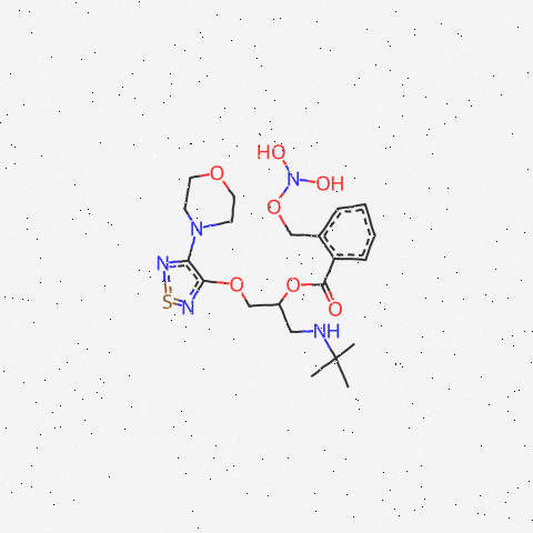 CC(C)(C)NCC(COc1nsnc1N1CCOCC1)OC(=O)c1ccccc1CON(O)O